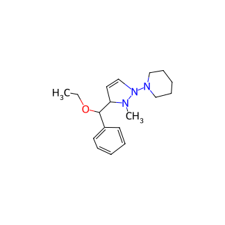 CCOC(c1ccccc1)C1C=CN(N2CCCCC2)N1C